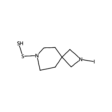 SSN1CCC2(CC1)CN(I)C2